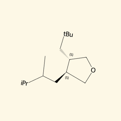 CC(C)C(C)C[C@@H]1COC[C@H]1CC(C)(C)C